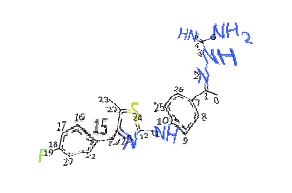 CC(=NNC(=N)N)c1ccc(Nc2nc(-c3ccc(F)cc3)c(C)s2)cc1